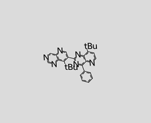 CC(C)(C)c1c(-c2nc(-c3ccccc3)c3nccc(C(C)(C)C)c3n2)cnc2cncnc12